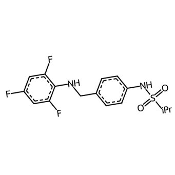 CC(C)S(=O)(=O)Nc1ccc(CNc2c(F)cc(F)cc2F)cc1